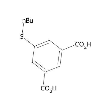 CCCCSc1cc(C(=O)O)cc(C(=O)O)c1